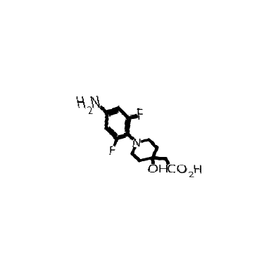 Nc1cc(F)c(N2CCC(O)(CC(=O)O)CC2)c(F)c1